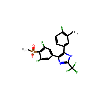 Cc1cc(-c2[nH]c(C(F)(F)F)nc2-c2cc(F)c(S(C)(=O)=O)c(F)c2)ccc1Br